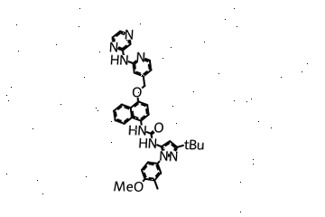 COc1ccc(-n2nc(C(C)(C)C)cc2NC(=O)Nc2ccc(OCc3ccnc(Nc4cnccn4)c3)c3ccccc23)cc1C